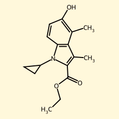 CCOC(=O)c1c(C)c2c(C)c(O)ccc2n1C1CC1